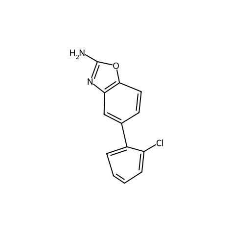 Nc1nc2cc(-c3ccccc3Cl)ccc2o1